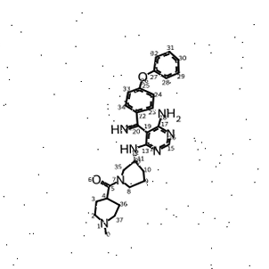 CN1CCC(C(=O)N2CCC[C@@H](Nc3ncnc(N)c3C(=N)c3ccc(Oc4ccccc4)cc3)C2)CC1